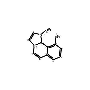 CCCc1cccc2c1C1N(C=C2)C=CN1CCC